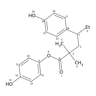 CCC(CC(C)(C)C(=O)Oc1ccc(O)cc1)c1ccc(O)cc1